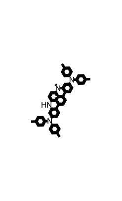 Cc1ccc(N(c2ccc(C)cc2)c2ccc3c(c2)Nc2ccc4c5c(ccc-3c25)-c2ccc(N(c3ccc(C)cc3)c3ccc(C)cc3)cc2N4C)cc1